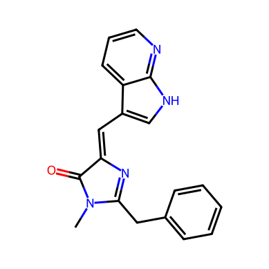 CN1C(=O)/C(=C/c2c[nH]c3ncccc23)N=C1Cc1ccccc1